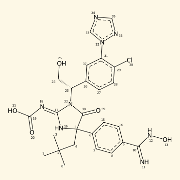 CC(C)(C)CC1(c2ccc(C(=N)NO)cc2)NC(=NC(=O)O)N([C@H](CO)c2ccc(Cl)c(-n3cncn3)c2)C1=O